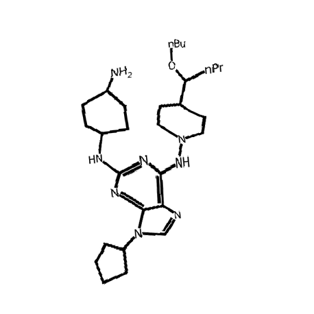 CCCCOC(CCC)C1CCN(Nc2nc(NC3CCC(N)CC3)nc3c2ncn3C2CCCC2)CC1